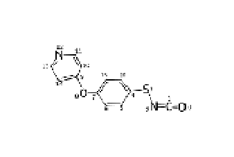 O=C=NSc1ccc(Oc2ccncc2)cc1